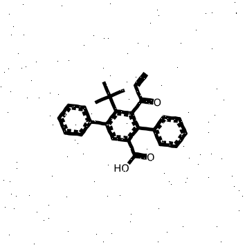 C=CC(=O)c1c(-c2ccccc2)c(C(=O)O)cc(-c2ccccc2)c1C(C)(C)C